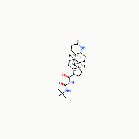 CC(C)(C)NC(=O)NC(=O)C1CC[C@H]2[C@@H]3CCC4NC(=O)CC[C@]4(C)[C@@H]3CC[C@]12C